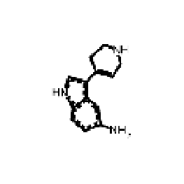 Nc1ccc2[nH]cc(C3=CCNCC3)c2c1